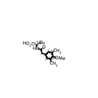 CC[C@H](C)[C@H](NC(=O)Cc1cc(C)c(OC)c(C)c1)C(=O)O